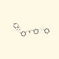 CC1=CCC(C)(S(=O)(=O)Oc2cccc(NC(=O)Nc3cccc(OS(=O)(=O)c4ccccc4)c3)c2)C=C1